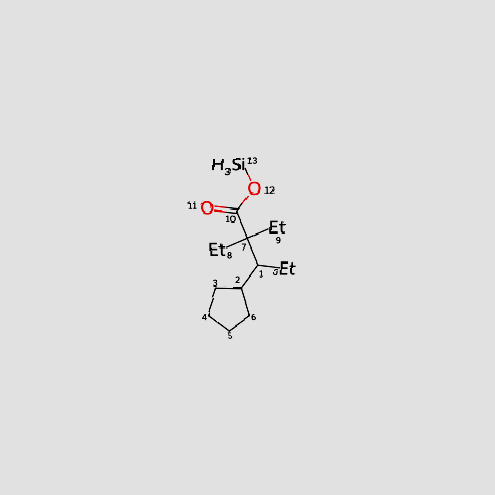 CCC(C1CCCC1)C(CC)(CC)C(=O)O[SiH3]